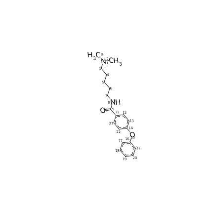 CN(C)CCCCCNC(=O)c1ccc(Oc2ccccc2)cc1